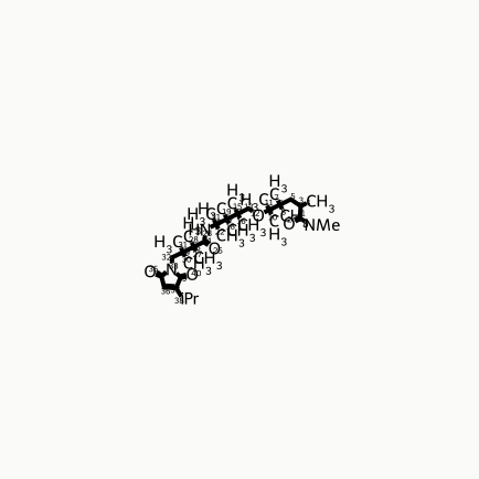 CNC(=O)C(C)CC(C)(C)C(C)(C)OCC(C)(C)C(C)(C)C(C)(C)NC(=O)C(C)(C)C(C)(C)CN1C(=O)C=C(C(C)C)C1=O